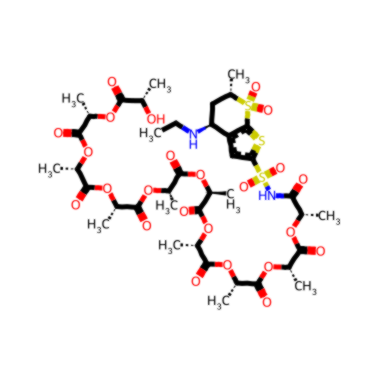 CCN[C@H]1C[C@H](C)S(=O)(=O)c2sc(S(=O)(=O)NC(=O)[C@H](C)OC(=O)[C@H](C)OC(=O)[C@H](C)OC(=O)[C@H](C)OC(=O)[C@H](C)OC(=O)[C@H](C)OC(=O)[C@H](C)OC(=O)[C@H](C)OC(=O)[C@H](C)OC(=O)[C@H](C)O)cc21